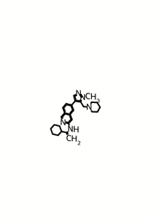 C=C(Nc1cc2cc(-c3cnn(C)c3CN3CCCCC3)ccc2cn1)C1CCCCC1